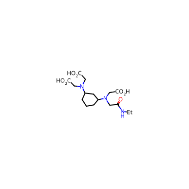 CCNC(=O)CN(CC(=O)O)C1CCCC(N(CC(=O)O)CC(=O)O)C1